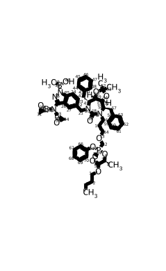 CCCCOC(=O)[C@@H](C)OP(=O)(COCCCN1C(=O)N(Cc2ccc3c(c2)c(N(B2CO2)B2CO2)nn3B(C)O)[C@H](Cc2ccccc2)[C@@H]2OC(C)(C)O[C@H]2[C@H]1Cc1ccccc1)Oc1ccccc1